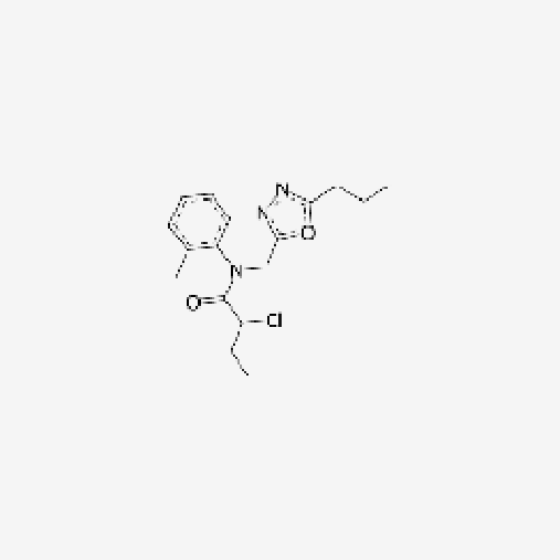 CCCc1nnc(CN(C(=O)C(Cl)CC)c2ccccc2C)o1